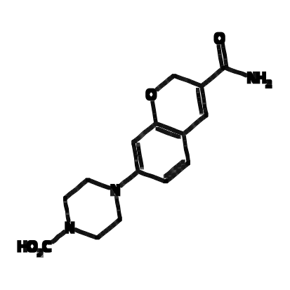 NC(=O)C1=Cc2ccc(N3CCN(C(=O)O)CC3)cc2OC1